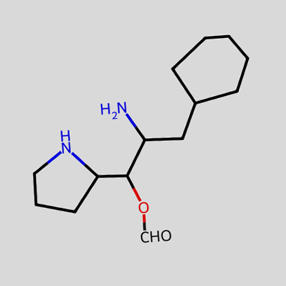 NC(CC1CCCCC1)C(OC=O)C1CCCN1